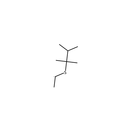 C[CH]SC(C)(C)C(C)C